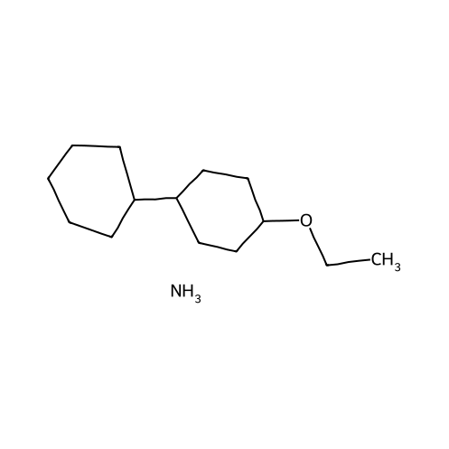 CCOC1CCC(C2CCCCC2)CC1.N